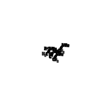 C[NH2+]C.C[NH2+]C.C[NH2+]C.C[NH2+]C.[Zr+4]